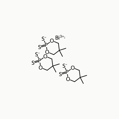 CC1(C)COP(=S)([S-])OC1.CC1(C)COP(=S)([S-])OC1.CC1(C)COP(=S)([S-])OC1.[Bi+3]